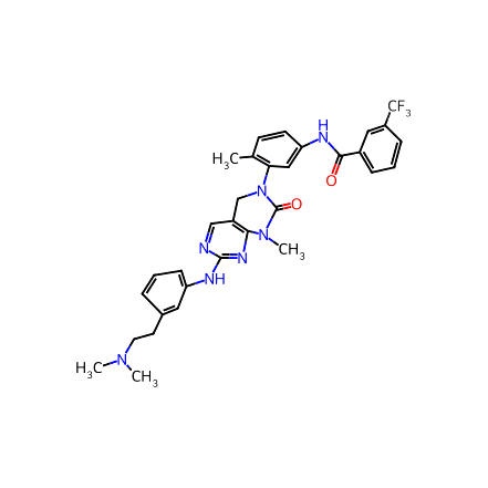 Cc1ccc(NC(=O)c2cccc(C(F)(F)F)c2)cc1N1Cc2cnc(Nc3cccc(CCN(C)C)c3)nc2N(C)C1=O